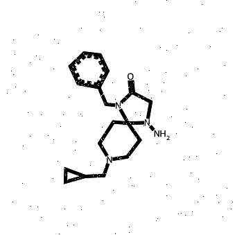 NN1CC(=O)N(Cc2ccccc2)C12CCN(CC1CC1)CC2